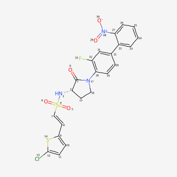 O=C1[C@@H](NS(=O)(=O)C=Cc2ccc(Cl)s2)CCN1c1ccc(-c2ccccc2[N+](=O)[O-])cc1F